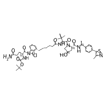 Cc1ncsc1-c1ccc([C@H](C)NC(=O)[C@@H]2C[C@@H](O)CN2C(=O)[C@@H](NC(=O)CCCCCc2cccc(NC(=O)[C@H](CCC(N)=O)NC(=O)OC(C)(C)C)c2Cl)C(C)(C)C)cc1